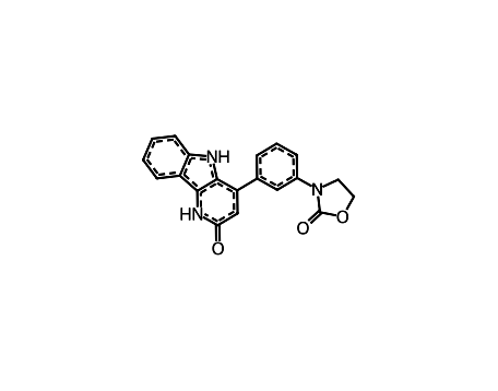 O=C1OCCN1c1cccc(-c2cc(=O)[nH]c3c2[nH]c2ccccc23)c1